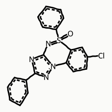 O=S1(c2ccccc2)=Nc2nc(-c3ccccc3)nn2-c2ccc(Cl)cc21